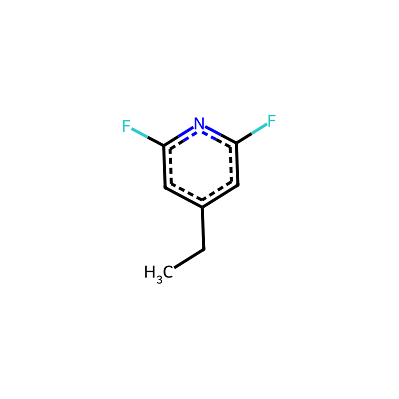 CCc1cc(F)nc(F)c1